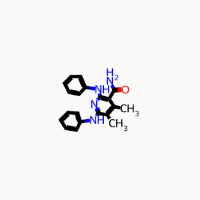 Cc1c(Nc2ccccc2)nc(Nc2ccccc2)c(C(N)=O)c1C